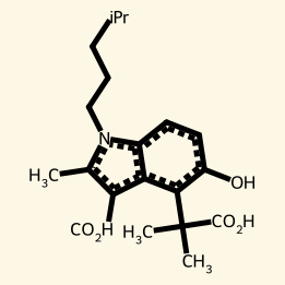 Cc1c(C(=O)O)c2c(C(C)(C)C(=O)O)c(O)ccc2n1CCCC(C)C